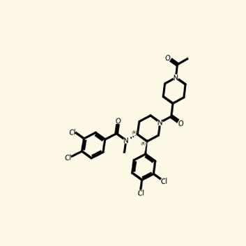 CC(=O)N1CCC(C(=O)N2CC[C@@H](N(C)C(=O)c3ccc(Cl)c(Cl)c3)[C@H](c3ccc(Cl)c(Cl)c3)C2)CC1